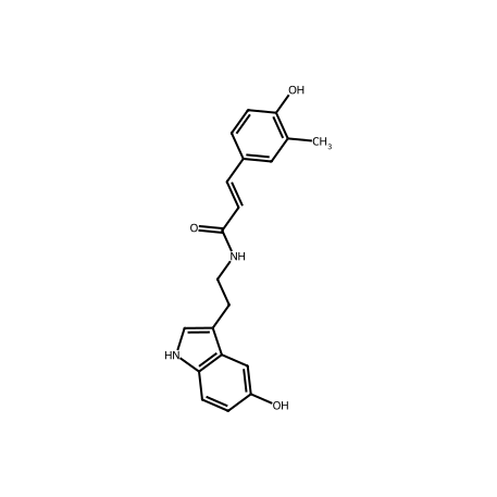 Cc1cc(C=CC(=O)NCCc2c[nH]c3ccc(O)cc23)ccc1O